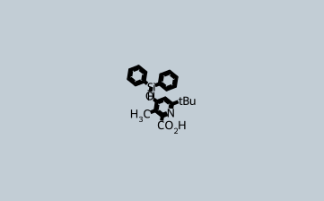 Cc1c(O[SiH](c2ccccc2)c2ccccc2)cc(C(C)(C)C)nc1C(=O)O